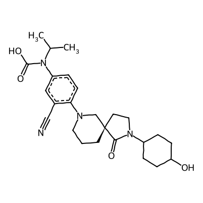 CC(C)N(C(=O)O)c1ccc(N2CCC[C@]3(CCN(C4CCC(O)CC4)C3=O)C2)c(C#N)c1